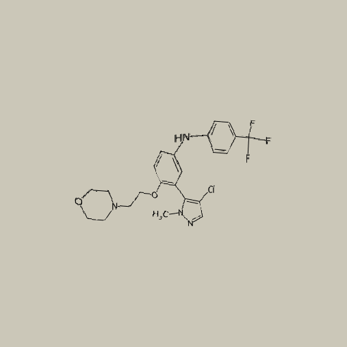 Cn1ncc(Cl)c1-c1cc(Nc2ccc(C(F)(F)F)cc2)ccc1OCCN1CCOCC1